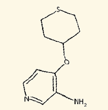 Nc1cnccc1OC1CCSCC1